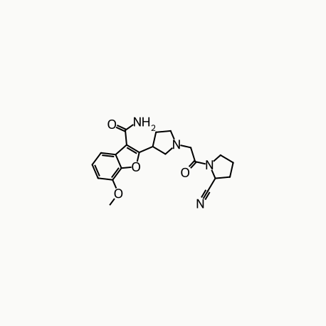 COc1cccc2c(C(N)=O)c(C3CCN(CC(=O)N4CCCC4C#N)C3)oc12